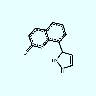 O=c1ccc2cccc(C3C=CNN3)c2o1